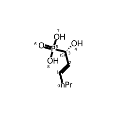 CCCC=C[C@@H](O)P(=O)(O)O